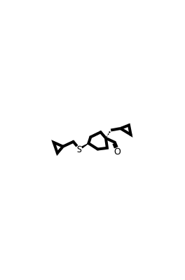 O=C[C@]1(CC2CC2)CC[C@H](SCC2CC2)CC1